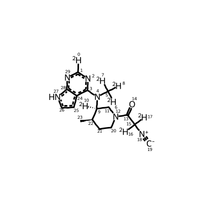 [2H]c1nc(N(C([2H])([2H])[2H])[C@@]2([2H])CN(C(=O)C([2H])([2H])[N+]#[C-])CC[C@H]2C)c2cc[nH]c2n1